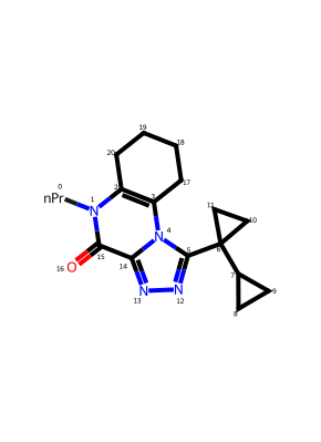 CCCn1c2c(n3c(C4(C5CC5)CC4)nnc3c1=O)CCCC2